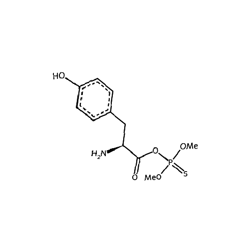 COP(=S)(OC)OC(=O)[C@@H](N)Cc1ccc(O)cc1